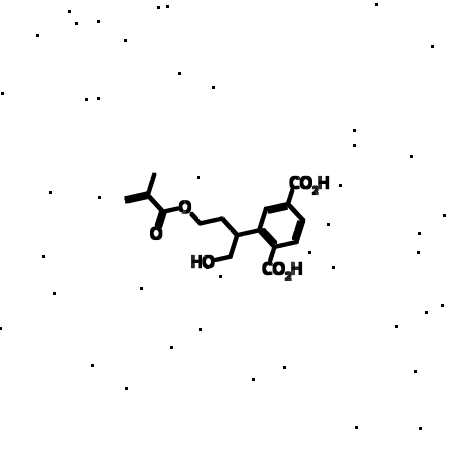 C=C(C)C(=O)OCCC(CO)c1cc(C(=O)O)ccc1C(=O)O